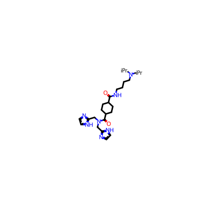 CC(C)N(CCCCNC(=O)C1CCC(C(=O)N(Cc2ncc[nH]2)Cc2ncc[nH]2)CC1)C(C)C